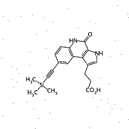 C[Si](C)(C)C#Cc1ccc2[nH]c(=O)c3[nH]cc(CCC(=O)O)c3c2c1